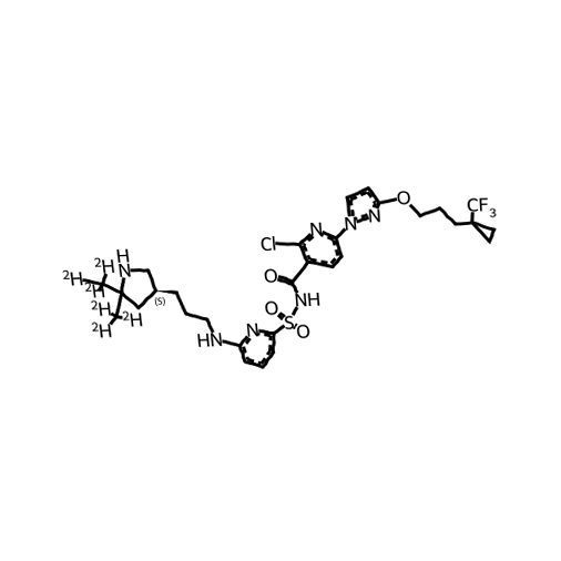 [2H]C([2H])([2H])C1(C([2H])([2H])[2H])C[C@H](CCCNc2cccc(S(=O)(=O)NC(=O)c3ccc(-n4ccc(OCCCC5(C(F)(F)F)CC5)n4)nc3Cl)n2)CN1